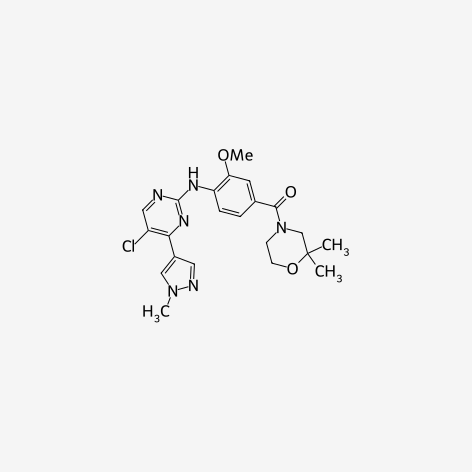 COc1cc(C(=O)N2CCOC(C)(C)C2)ccc1Nc1ncc(Cl)c(-c2cnn(C)c2)n1